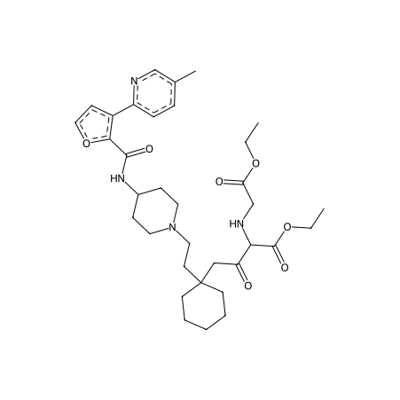 CCOC(=O)CNC(C(=O)CC1(CCN2CCC(NC(=O)c3occc3-c3ccc(C)cn3)CC2)CCCCC1)C(=O)OCC